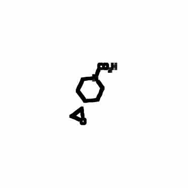 C1CO1.O=C(O)N1CCCCC1